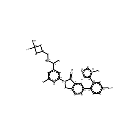 Cc1cc(C(C)NCC2CC(F)(F)C2)cc(N2Cc3ccc(-c4ccc(Cl)cc4-c4nncn4C)cc3C2=O)n1